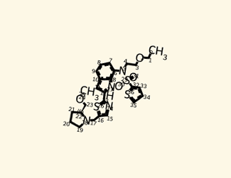 CCOCCN(c1cccc2cc(-c3ncc(CN4CCC[C@H]4COC)s3)[nH]c12)S(=O)(=O)c1cccs1